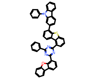 c1ccc(-c2nc(-c3cccc4c3oc3ccccc34)nc(-c3cccc4sc5c(-c6ccc7c8ccccc8n(-c8ccccc8)c7c6)cccc5c34)n2)cc1